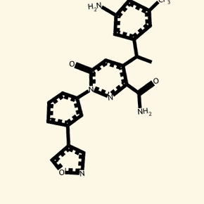 CC(c1cc(N)cc(C(F)(F)F)c1)c1cc(=O)n(-c2cccc(-c3cnoc3)c2)nc1C(N)=O